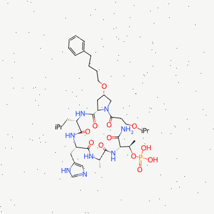 CC(C)C[C@H](NC(=O)[C@@H]1C[C@H](OCCCCc2ccccc2)CN1C(=O)CCOC(C)C)C(=O)N[C@@H](Cc1cnc[nH]1)C(=O)N[C@@H](C)C(=O)N[C@H](C(N)=O)[C@@H](C)OP(=O)(O)O